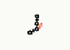 CC(C)(c1ccccc1)c1ccc2c(c1)-c1ccc(C(C)(C)c3ccccc3)cc1P(=O)(O)O2